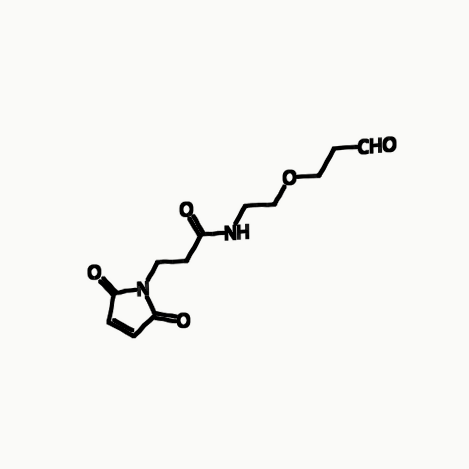 O=CCCOCCNC(=O)CCN1C(=O)C=CC1=O